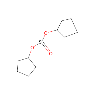 O=[Si](OC1CCCC1)OC1CCCC1